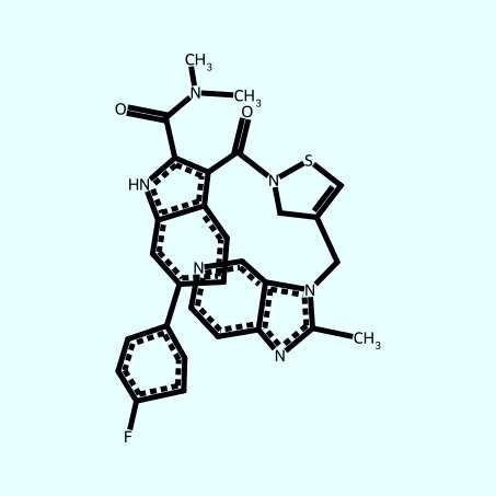 Cc1nc2ccncc2n1CC1=CSN(C(=O)c2c(C(=O)N(C)C)[nH]c3cc(-c4ccc(F)cc4)ccc23)C1